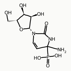 NC1(P(=O)(O)O)C=CN([C@@H]2O[C@H](CO)[C@@H](O)[C@H]2O)C(=O)N1